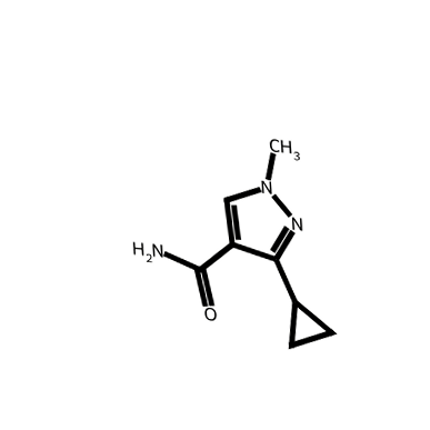 Cn1cc(C(N)=O)c(C2CC2)n1